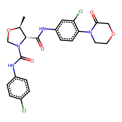 C[C@@H]1OCN(C(=O)Nc2ccc(Cl)cc2)[C@H]1C(=O)Nc1ccc(N2CCOCC2=O)c(Cl)c1